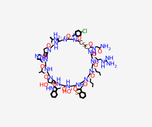 C=C(N)C[C@@H]1NC(=C)[C@H](C)N(C)C(=O)[C@H](Cc2ccc(Cl)cc2)NC(=O)CSC[C@@H](C(=O)NCC(N)=O)NC(=O)[C@H](CCCNC(=N)N)NC(=O)[C@H](CCCC)N(C)C(=O)[C@H](CCCC)N(C)C(=O)[C@H](Cc2csc3ccccc23)NC(=O)[C@H](CO)NC(=O)[C@H](Cc2c[nH]c3ccccc23)NC(=O)[C@@H]2C[C@@H](O)CN2C(=O)[C@H](CC(C)C)NC(=O)[C@H](Cc2cnc[nH]2)NC(=O)[C@@H]2CCCN2C1=O